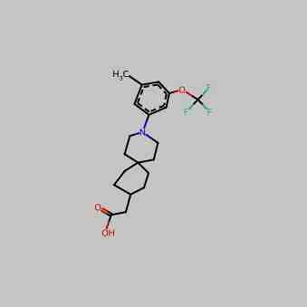 Cc1cc(OC(F)(F)F)cc(N2CCC3(CCC(CC(=O)O)CC3)CC2)c1